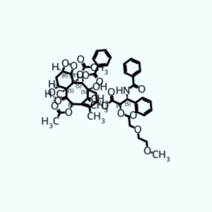 COCCOCC(=O)O[C@@H](C(=O)O[C@H]1C[C@@]2(O)[C@@H](OC(=O)c3ccccc3)[C@@H]3[C@]4(OC(C)=O)OO[C@@H]4C[C@H](O)[C@@]3(C)C(=O)[C@H](OC(C)=O)C(=C1C)C2(C)C)[C@@H](NC(=O)c1ccccc1)c1ccccc1